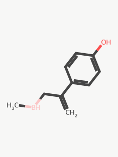 C=C(CBC)c1ccc(O)cc1